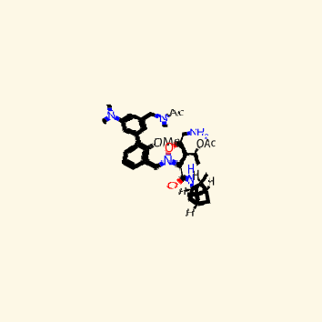 COc1c(CN2O[C@@H](CN)[C@@H]([C@H](C)OC(C)=O)[C@H]2C(=O)N[C@H]2C[C@H]3C[C@@H]([C@@H]2C)C3(C)C)cccc1-c1cc(CN(C)C(C)=O)cc(N(C)C)c1